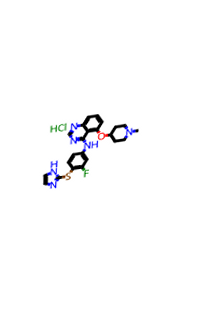 CN1CCC(Oc2cccc3ncnc(Nc4ccc(Sc5ncc[nH]5)c(F)c4)c23)CC1.Cl